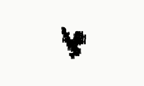 CCO[C@H]1C[C@@H](CNc2nc(C)c(-c3nc4c(C5CC5)nccc4s3)c(N[C@@H]3C[C@H](CO)[C@@H](O)[C@H]3O)n2)C1